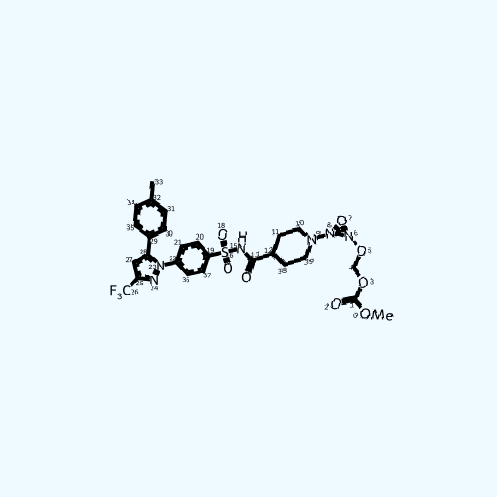 COC(=O)OCOn1on1N1CCC(C(=O)NS(=O)(=O)c2ccc(-n3nc(C(F)(F)F)cc3-c3ccc(C)cc3)cc2)CC1